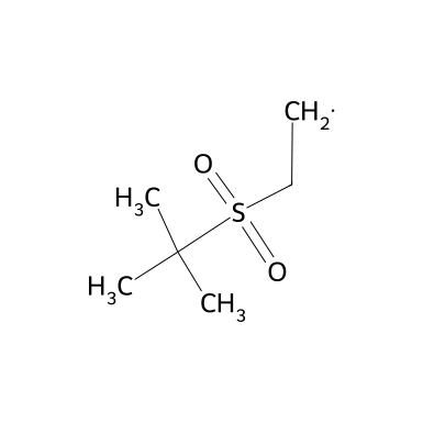 [CH2]CS(=O)(=O)C(C)(C)C